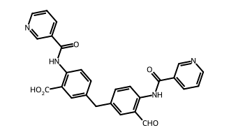 O=Cc1cc(Cc2ccc(NC(=O)c3cccnc3)c(C(=O)O)c2)ccc1NC(=O)c1cccnc1